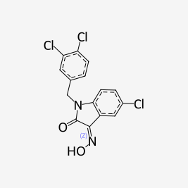 O=C1/C(=N\O)c2cc(Cl)ccc2N1Cc1ccc(Cl)c(Cl)c1